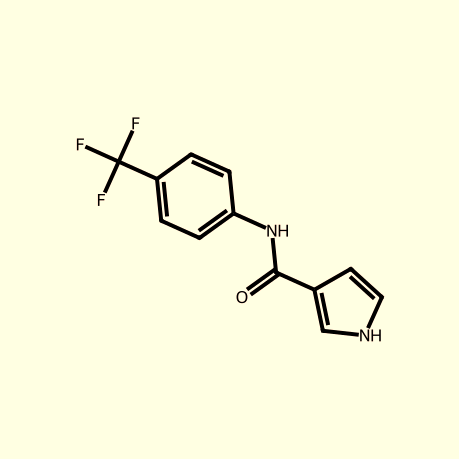 O=C(Nc1ccc(C(F)(F)F)cc1)c1cc[nH]c1